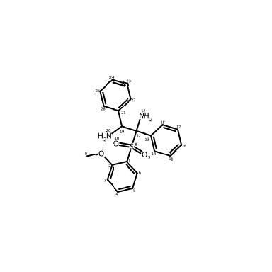 COc1ccccc1S(=O)(=O)C(N)(c1ccccc1)C(N)c1ccccc1